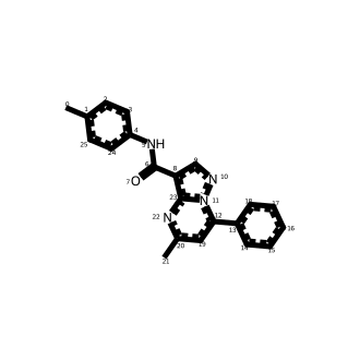 Cc1ccc(NC(=O)c2cnn3c(-c4ccccc4)cc(C)nc23)cc1